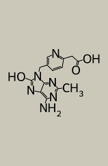 Cc1nc(N)c2nc(O)n(Cc3ccc(CC(=O)O)nc3)c2n1